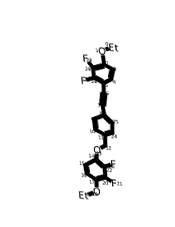 CCOc1ccc(C#Cc2ccc(COc3ccc(OCC)c(F)c3F)cc2)c(F)c1F